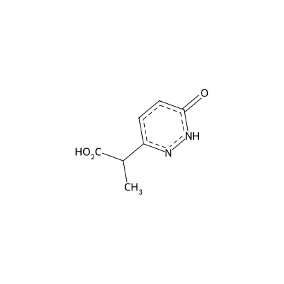 CC(C(=O)O)c1ccc(=O)[nH]n1